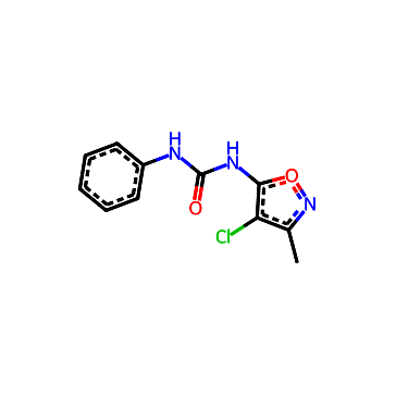 Cc1noc(NC(=O)Nc2ccccc2)c1Cl